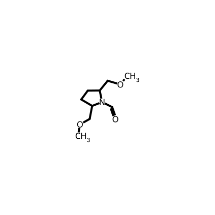 COCC1CCC(COC)N1C=O